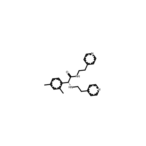 Cc1ccc([C@@H](NCCc2ccncc2)C(=O)NCCc2ccncc2)c(C)c1